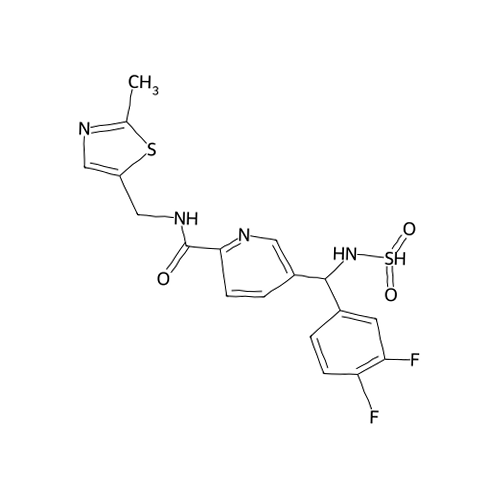 Cc1ncc(CNC(=O)c2ccc(C(N[SH](=O)=O)c3ccc(F)c(F)c3)cn2)s1